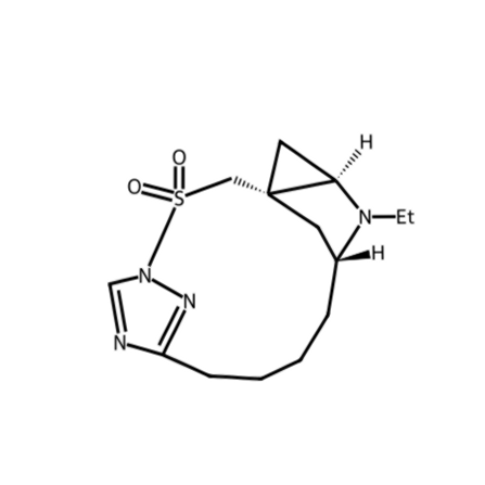 CCN1[C@@H]2CCCCc3ncn(n3)S(=O)(=O)C[C@]3(C2)C[C@@H]13